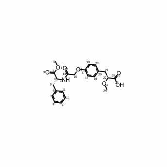 COC(=O)[C@@H](Cc1ccccc1)NC(=O)COc1ccc(C[C@H](OC)C(=O)O)cc1